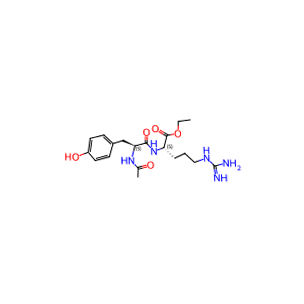 CCOC(=O)[C@H](CCCNC(=N)N)NC(=O)[C@H](Cc1ccc(O)cc1)NC(C)=O